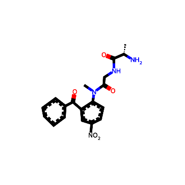 C[C@H](N)C(=O)NCC(=O)N(C)c1ccc([N+](=O)[O-])cc1C(=O)c1ccccc1